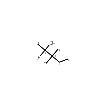 CCC(C)(C)C(C)(F)Cl